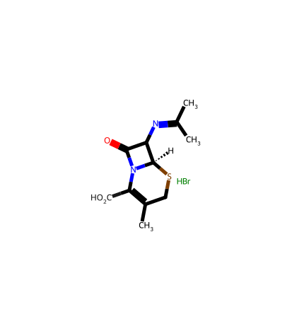 Br.CC(C)=NC1C(=O)N2C(C(=O)O)=C(C)CS[C@H]12